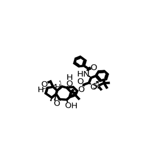 CC1=C2[C@@H](O)C(=O)[C@@]3(C)[C@H]([C@H](C)[C@](O)(C[C@@H]1OC(=O)[C@H](O[Si](C)(C)C(C)(C)C)[C@@H](NC(=O)c1ccccc1)c1ccccc1)C2(C)C)[C@]1(C)CO[C@@H]1C[C@@H]3C